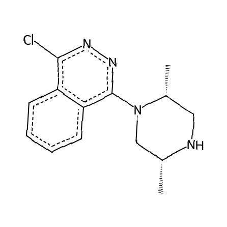 C[C@@H]1CN(c2nnc(Cl)c3ccccc23)[C@H](C)CN1